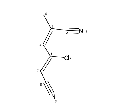 CC(C#N)=CC(Cl)=CC#N